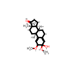 COC1C=C2C(=CC1(O)OC)CC[C@@H]1[C@@H]2CC[C@]2(C)C(=O)CC[C@@H]12